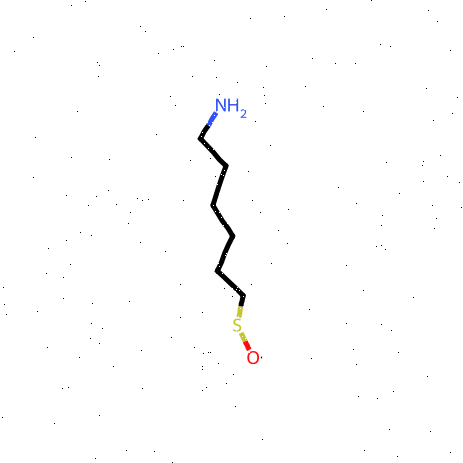 NCCCCCCS[O]